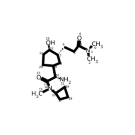 CN(C)C(=O)CC[C@@H]1CC([C@H](N)C(=O)N(C)C2CCC2)CC[C@H]1O